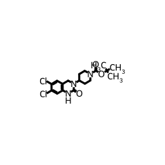 CC(C)(C)OC(=O)N1CCC(N2Cc3cc(Cl)c(Cl)cc3NC2=O)CC1